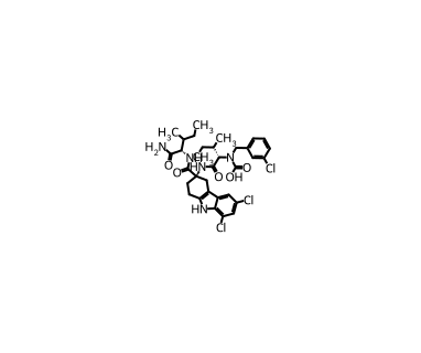 CCC(C)[C@H](NC(=O)[C@@]1(NC(=O)[C@H](C(C)CC)N(Cc2cccc(Cl)c2)C(=O)O)CCc2[nH]c3c(Cl)cc(Cl)cc3c2C1)C(N)=O